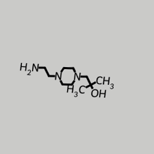 CC(C)(O)CN1CCN(CCN)CC1